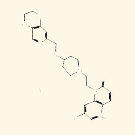 Cl.O=c1ccc2c(cc(F)c[n+]2[O-])n1CCN1CCC(NCc2cc3c(cn2)OCCO3)CC1